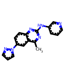 Cc1nc(Nc2cccnc2)nc2ccc(-n3cccn3)cc12